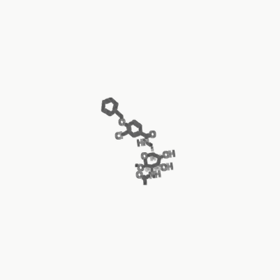 CO[C@H]1O[C@H](CNC(=O)c2ccc(OCc3ccccc3)c(Cl)c2)[C@@H](O)[C@H](O)[C@H]1NC(C)=O